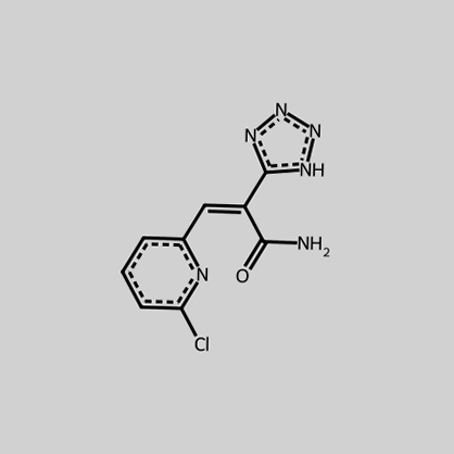 NC(=O)C(=Cc1cccc(Cl)n1)c1nnn[nH]1